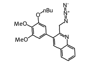 CCCCOc1cc(-c2cc3ccccc3nc2CN=[N+]=[N-])cc(OC)c1OC